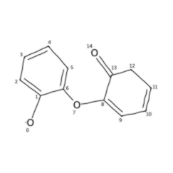 [O]c1ccccc1OC1=CC=CCC1=O